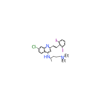 CCN(CC)CCCC(C)Nc1cc(/C=C/c2c(I)cccc2I)nc2cc(Cl)ccc12